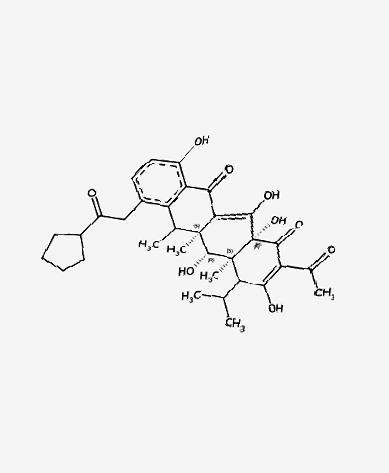 CC(=O)C1=C(O)C(C(C)C)[C@@]2(C)[C@H](O)[C@]3(C)C(=C(O)[C@@]2(O)C1=O)C(=O)c1c(O)ccc(CC(=O)C2CCCC2)c1C3C